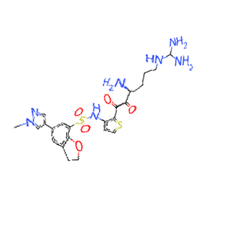 Cn1cc(-c2cc3c(c(S(=O)(=O)Nc4ccsc4C(=O)C(=O)[C@@H](N)CCCNC(N)N)c2)OCC3)cn1